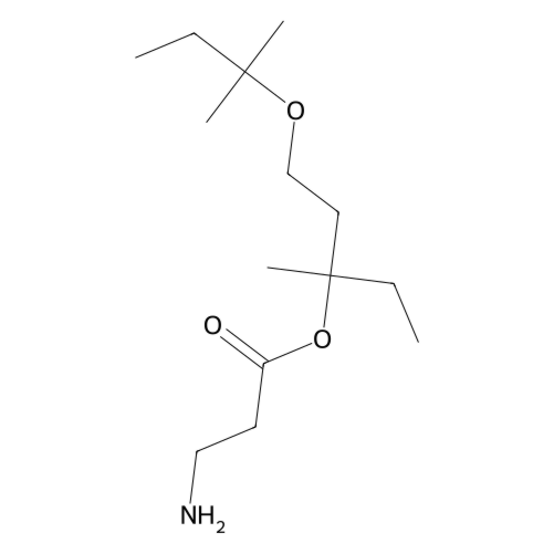 CCC(C)(C)OCCC(C)(CC)OC(=O)CCN